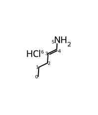 CCC/C=C/N.Cl